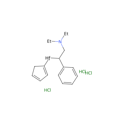 CCN(CC)C[CH]([Hf][C]1=CC=CC1)c1ccccc1.Cl.Cl.Cl